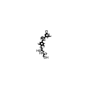 Cc1cc(-c2nc(-c3cc(C)c(OC[C@H](O)CNC(=O)CO)c(C)c3)no2)cc(Cl)n1